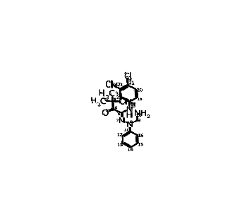 CC(C)(C)C(=O)C(=NN(CN)c1ccccc1)Nc1ccc(Cl)c(Cl)c1